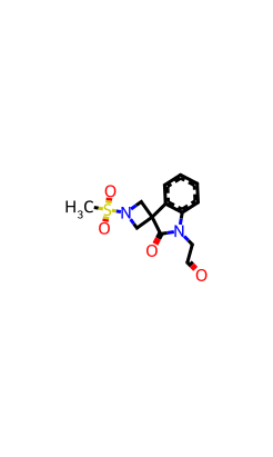 CS(=O)(=O)N1CC2(C1)C(=O)N(CC=O)c1ccccc12